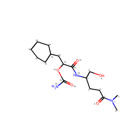 CN(C)C(=O)CCC(CO)NC(=O)C(CC1CCCCC1)OC(N)=O